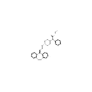 CCOC(=O)C(c1ccccc1)C1CCN(CCC=C2c3ccccc3CCc3ccccc32)CC1